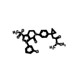 CN(C)C(=O)CC1(c2ccc(N3CCc4c(S(C)(=O)=O)nn(-c5cccc(Cl)c5)c4C3=O)cc2)CC1